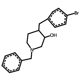 OC1CN(Cc2ccccc2)CCC1Cc1ccc(Br)cc1